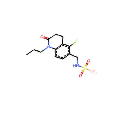 BS(=O)(=O)NCc1ccc2c(c1F)CCC(=O)N2CCC